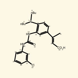 CCCCN(CCCC)c1ccc(/C(C)=C/C(=O)O)cc1NC(=O)Nc1cccc(Cl)c1